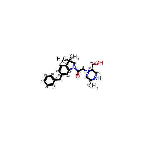 C[C@@H]1CN(CC(=O)N2CC(C)(C)c3ccc(Cc4ccccc4)cc32)[C@@H](CO)CN1